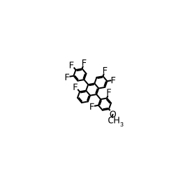 COc1cc(F)c(-c2c3cc(F)c(F)cc3c(-c3cc(F)c(F)c(F)c3)c3c(F)cccc23)c(F)c1